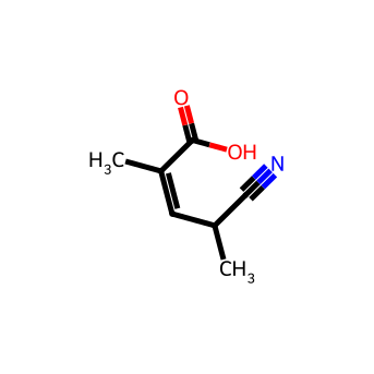 CC(=CC(C)C#N)C(=O)O